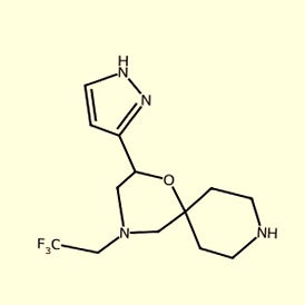 FC(F)(F)CN1CC(c2cc[nH]n2)OC2(CCNCC2)C1